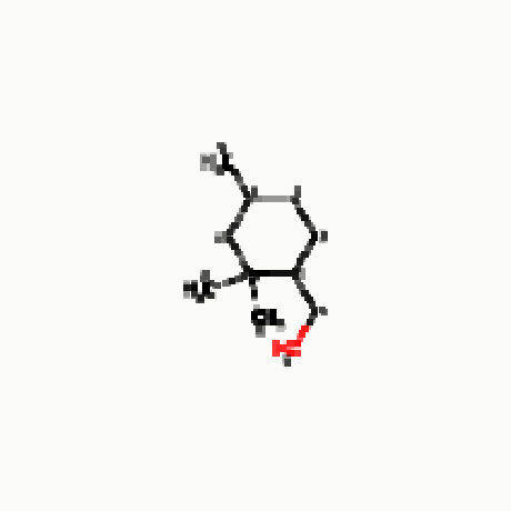 CC1CCC([CH]O)C(C)(C)C1